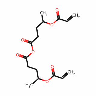 C=CC(=O)OC(C)CCC(=O)OC(=O)CCC(C)OC(=O)C=C